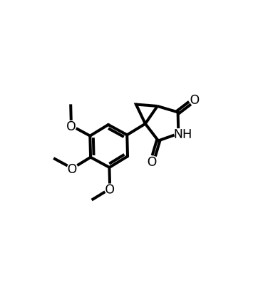 COc1cc(C23CC2C(=O)NC3=O)cc(OC)c1OC